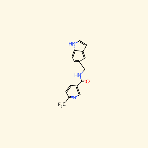 O=C(NCc1ccc2[nH]ccc2c1)c1ccc(C(F)(F)F)nc1